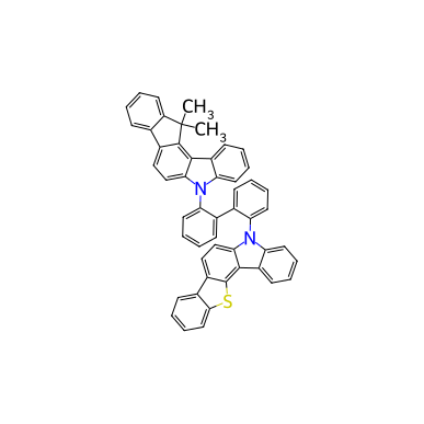 CC1(C)c2ccccc2-c2ccc3c(c21)c1ccccc1n3-c1ccccc1-c1ccccc1-n1c2ccccc2c2c3sc4ccccc4c3ccc21